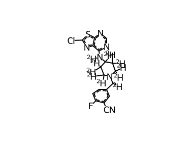 [2H]C(c1ccc(F)c(C#N)c1)N1C([2H])([2H])C([2H])([2H])C([2H])(N([2H])c2ncnc3sc(Cl)nc23)C([2H])([2H])C1([2H])[2H]